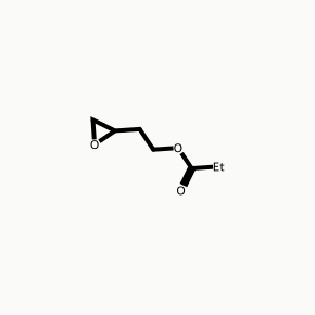 CCC(=O)OCCC1CO1